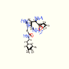 N=C(C1=C(N)N(CC(=O)NCCC2C=CC=CC2)NC1)c1ccco1